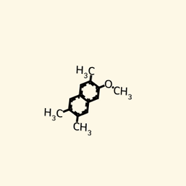 COc1cc2cc(C)c(C)cc2cc1C